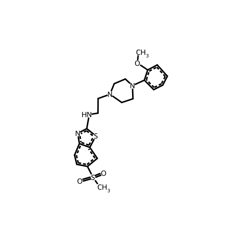 COc1ccccc1N1CCN(CCNc2nc3ccc(S(C)(=O)=O)cc3s2)CC1